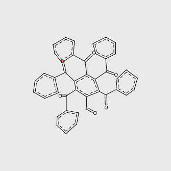 O=[C]c1c(C(=O)c2ccccc2)c(C(=O)c2ccccc2)c(C(=O)c2ccccc2)c(C(=O)c2ccccc2)c1C(=O)c1ccccc1